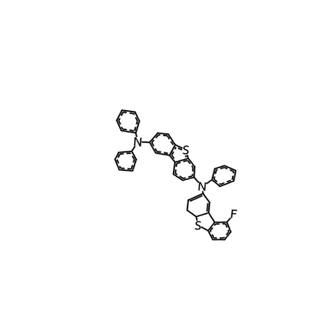 Fc1cccc2c1C1=CC(N(c3ccccc3)c3ccc4c(c3)sc3ccc(N(c5ccccc5)c5ccccc5)cc34)=CCC1S2